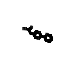 O=C(O)Cc1cnc(-c2ccccn2)nc1